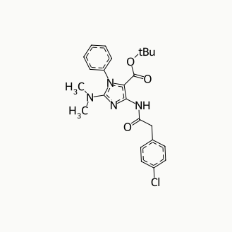 CN(C)c1nc(NC(=O)Cc2ccc(Cl)cc2)c(C(=O)OC(C)(C)C)n1-c1ccccc1